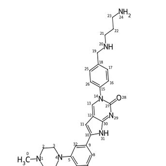 CN1CCN(c2cccc(-c3cc4cn(-c5ccc(CNCCCN)cc5)c(=O)nc4[nH]3)c2)CC1